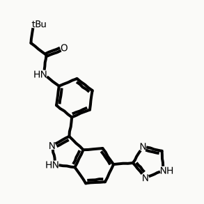 CC(C)(C)CC(=O)Nc1cccc(-c2n[nH]c3ccc(-c4nc[nH]n4)cc23)c1